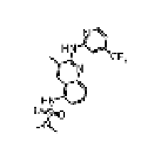 Cc1cc2c(NS(=O)(=O)N(C)C)cccc2nc1Nc1cc(C(F)(F)F)ccn1